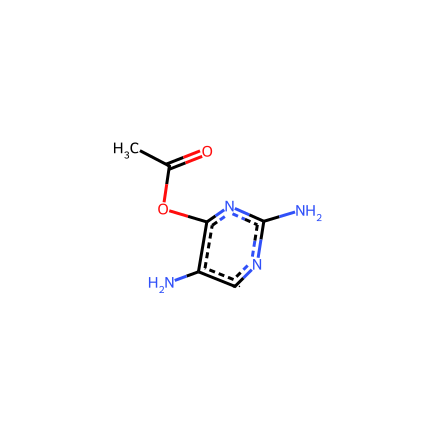 CC(=O)Oc1nc(N)n[c]c1N